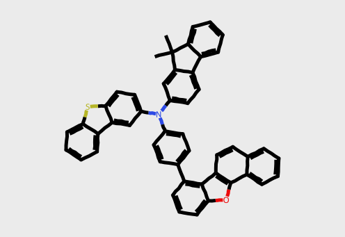 CC1(C)c2ccccc2-c2ccc(N(c3ccc(-c4cccc5oc6c7ccccc7ccc6c45)cc3)c3ccc4sc5ccccc5c4c3)cc21